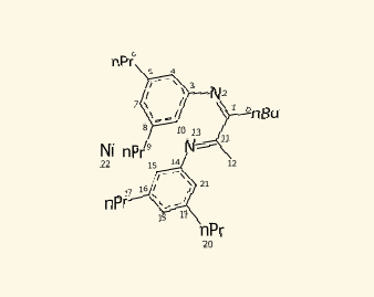 CCCCC(=Nc1cc(CCC)cc(CCC)c1)C(C)=Nc1cc(CCC)cc(CCC)c1.[Ni]